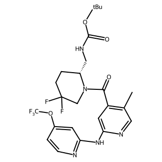 Cc1cnc(Nc2cc(OC(F)(F)F)ccn2)cc1C(=O)N1CC(F)(F)CC[C@@H]1CNC(=O)OC(C)(C)C